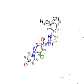 Cc1ccc(-c2csc(NC(=O)c3cnc(N4CCC(=O)CC4)c(Cl)c3)n2)cc1C